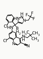 BC(Nc1cc(Cl)c2ncc(C#N)c(NCC(C)(C)C)c2c1)(C1=CN(CC(F)(F)F)NN1)c1ccccc1Cl